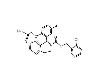 O=C(O)COc1ccc(F)cc1C1c2ccccc2CCN1C(=O)OCc1ccccc1Cl